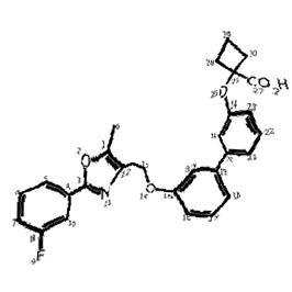 Cc1oc(-c2cccc(F)c2)nc1COc1cccc(-c2cccc(OC3(C(=O)O)CCC3)c2)c1